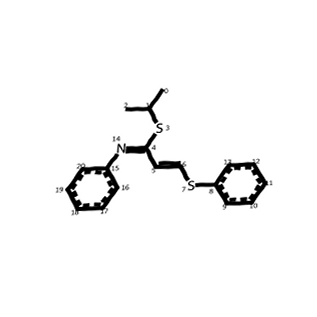 CC(C)SC(C=CSc1ccccc1)=Nc1ccccc1